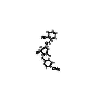 COc1ccc(Cn2c(C)cc(OCc3ccccc3C#N)cc2=O)cc1